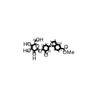 COC(=O)c1ccc2c(ccn2-c2ccc(O[C@H]3O[C@H](CO)[C@@H](O)[C@H](O)[C@@H]3O)c(Cl)c2)c1